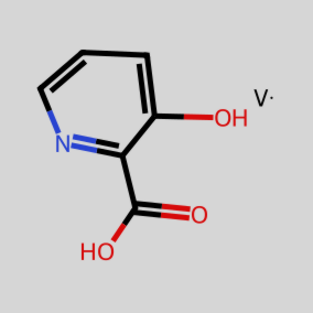 O=C(O)c1ncccc1O.[V]